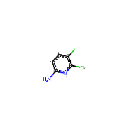 Nc1c[c]c(Cl)c(Cl)n1